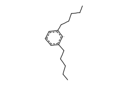 CCCCCc1[c]c(CCCCC)ccc1